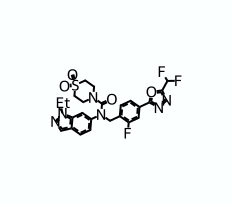 CCn1ncc2ccc(N(Cc3ccc(-c4nnc(C(F)F)o4)cc3F)C(=O)N3CCS(=O)(=O)CC3)cc21